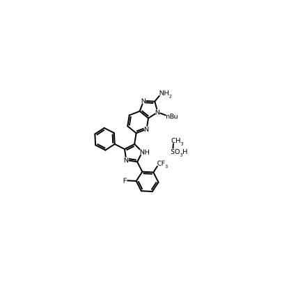 CCCCn1c(N)nc2ccc(-c3[nH]c(-c4c(F)cccc4C(F)(F)F)nc3-c3ccccc3)nc21.CS(=O)(=O)O